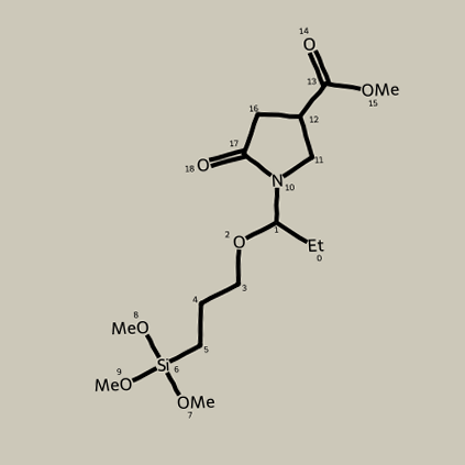 CCC(OCCC[Si](OC)(OC)OC)N1CC(C(=O)OC)CC1=O